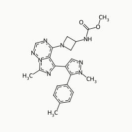 COC(=O)NC1CN(c2ncnn3c(C)nc(-c4cnn(C)c4-c4ccc(C)cc4)c23)C1